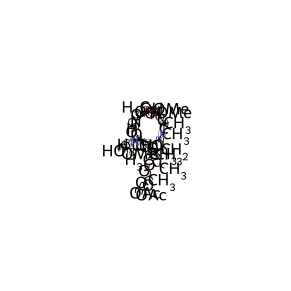 C=CC[C@@H]1/C=C(\C)C[C@H](C)C[C@H](OC)[C@H]2O[C@@](O)(C(=O)C(=O)N3CCCC[C@H]3C(=O)O[C@H](/C(C)=C/[C@@H]3CC[C@@H](O)[C@H](OC)C3)[C@H](C)[C@@H](OC(=O)CC(C)(C)c3c(C)cc(C)cc3OC(=O)CC(C)CC(=O)OC(COC(C)=O)COC(C)=O)CC1=O)[C@H](C)C[C@@H]2OC